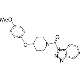 COc1ccc(OC2CCN(C(=O)n3nnc4ccccc43)CC2)cc1